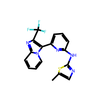 Cc1cnc(Nc2cccc(-c3c(C(F)(F)F)nc4ccccn34)n2)s1